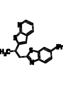 CC(C)c1ccc2nc(CC(C)c3cc4cccnc4s3)sc2c1